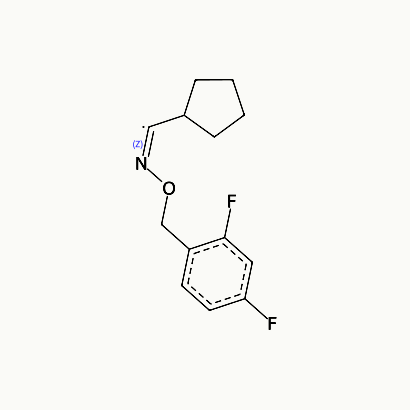 Fc1ccc(CO/N=[C]\C2CCCC2)c(F)c1